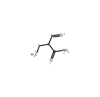 CCC([C]=O)C(N)=O